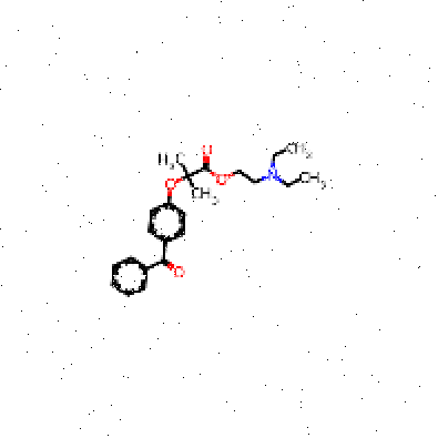 CCN(CC)CCOC(=O)C(C)(C)Oc1ccc(C(=O)c2ccccc2)cc1